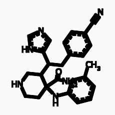 Cc1cccc(NC2(C(N)=O)CCNCC2C(Cc2ccc(C#N)cc2)c2cnc[nH]2)c1